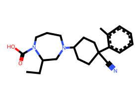 CCC1CN(C2CCC(C#N)(c3ccccc3C)CC2)CCCN1C(=O)O